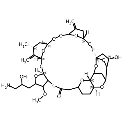 C=C1C[C@@H]2CC[C@]34C[C@@H](O)C(O3)C3CC(O4)[C@H]4OC(CC[C@@H]4O3)CC(=O)CC3C(OC)C(CC(O)CN)O[C@H]3C[C@H]3O[C@@H](CCC1O2)C[C@@H](C)C3=C